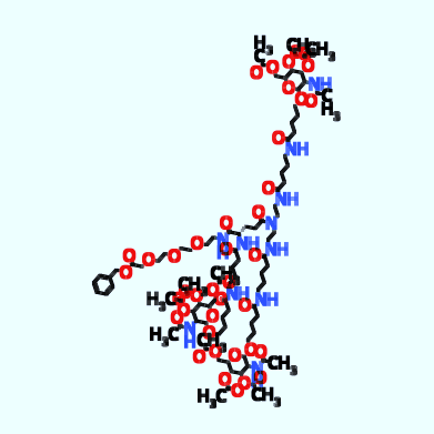 CC(=O)NC1C(OCCCCC(=O)NCCCCC(=O)NCCN(CCNC(=O)CCCCNC(=O)CCCCOC2OC(COC(C)=O)C(OC(C)=O)C(OC(C)=O)C2NC(C)=O)C(=O)CC[C@H](NC(=O)CCCCNC(=O)CCCCOC2OC(COC(C)=O)C(OC(C)=O)C(OC(C)=O)C2NC(C)=O)C(=O)NCCOCCOCCOCC(=O)OCc2ccccc2)OC(COC(C)=O)C(OC(C)=O)C1OC(C)=O